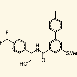 CSc1cc(C(=O)N[C@H](CO)c2ccc(C(F)F)nc2)cc(-c2ccc(C)cc2)c1